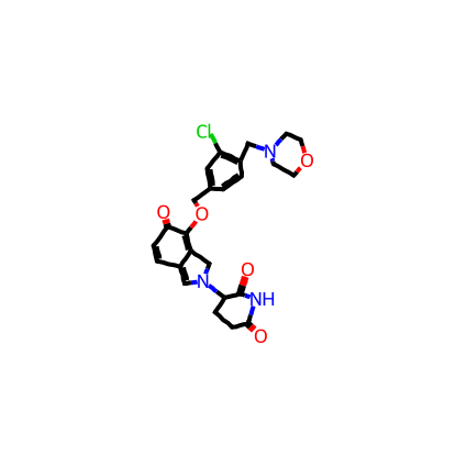 O=C1CCC(N2C=C3C=CC(=O)C(OCc4ccc(CN5CCOCC5)c(Cl)c4)=C3C2)C(=O)N1